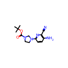 CC(C)(C)OC(=O)N1CCN(c2ccc(N)c(C#N)n2)C1